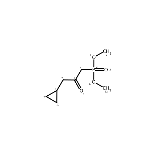 COP(=O)(CC(=O)CC1CC1)OC